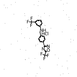 Cl.FC(F)(F)c1cccc(NCc2ccc(-c3noc(C(F)(F)F)n3)cc2)c1